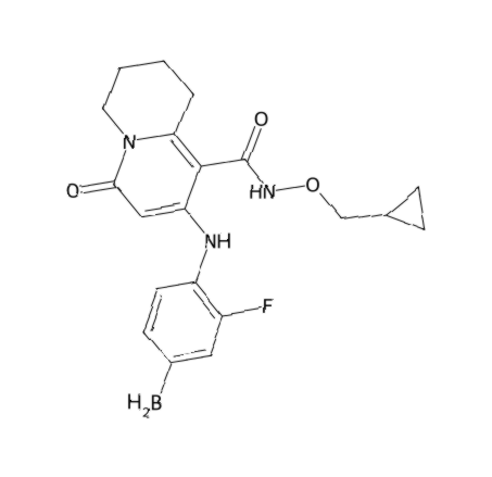 Bc1ccc(Nc2cc(=O)n3c(c2C(=O)NOCC2CC2)CCCC3)c(F)c1